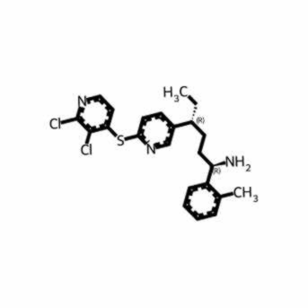 CC[C@H](CC[C@@H](N)c1ccccc1C)c1ccc(Sc2ccnc(Cl)c2Cl)nc1